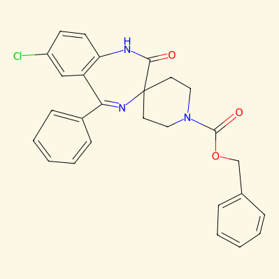 O=C(OCc1ccccc1)N1CCC2(CC1)N=C(c1ccccc1)c1cc(Cl)ccc1NC2=O